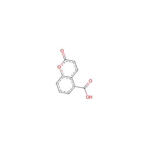 O=C(O)c1cccc2oc(=O)ccc12